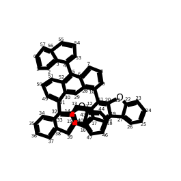 c1ccc2c(-c3c4cccc(-c5c6ccccc6cc6c5oc5ccccc56)c4cc4c(-c5c6ccccc6cc6c5oc5ccccc56)cccc34)cccc2c1